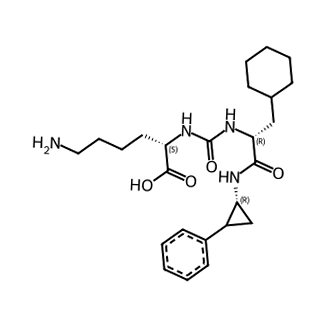 NCCCC[C@H](NC(=O)N[C@H](CC1CCCCC1)C(=O)N[C@@H]1CC1c1ccccc1)C(=O)O